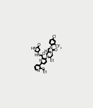 CCOc1ncccc1-c1ccc(N2C[C@H]3CN(c4ccc(Cl)cc4C(F)(F)F)C(=O)N3C[C@H]2CC)c(C(=O)N[C@H]2CNC(=O)C2)n1